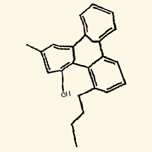 CCCCc1cccc2c3ccccc3c3cc(C)cc(O)c3c12